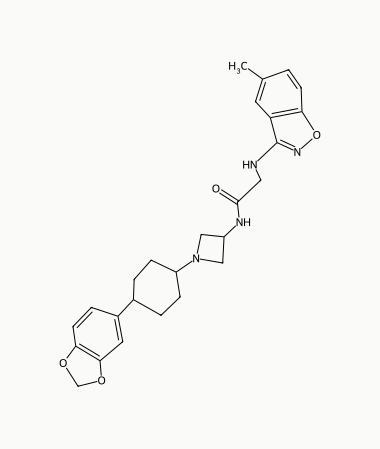 Cc1ccc2onc(NCC(=O)NC3CN(C4CCC(c5ccc6c(c5)OCO6)CC4)C3)c2c1